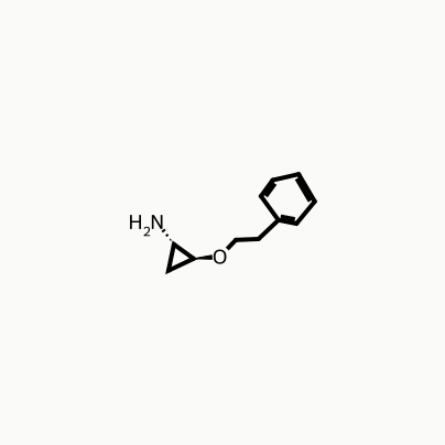 N[C@H]1C[C@@H]1OCCc1ccccc1